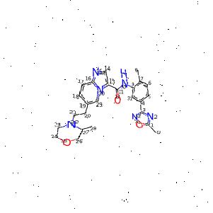 Cc1nc(-c2ccc(C)c(NC(=O)c3cnc4ccc(CCN5CCOCC5C)cn34)c2)no1